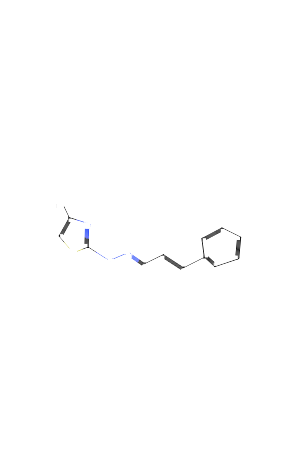 Cc1csc(NN=CC=Cc2ccccc2)n1